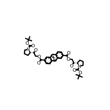 CC(C)(C)OC(=O)N1CCC[C@H]1C(=O)COC(=O)c1ccc2c(c1)C1CCC2c2cc(C(=O)OCC(=O)[C@@H]3CCCN3C(=O)OC(C)(C)C)ccc21